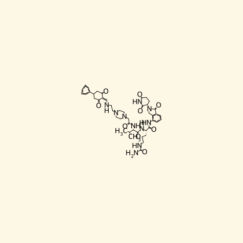 CC(C)[C@H](NC(=O)CN1CCN(CCNC=C2C(=O)CC(c3ccccc3)CC2=O)CC1)C(=O)N[C@@H](CCCNC(N)=O)C(=O)Nc1cccc2c1CN(C1CCC(=O)NC1=O)C2=O